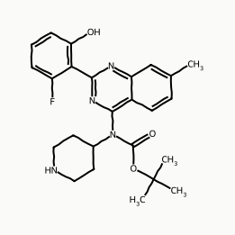 Cc1ccc2c(N(C(=O)OC(C)(C)C)C3CCNCC3)nc(-c3c(O)cccc3F)nc2c1